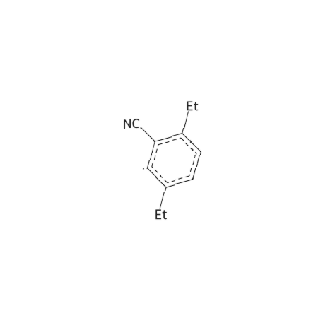 CCc1[c]c(C#N)c(CC)cc1